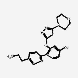 N#Cc1ccc(-c2ccc(CCN)cn2)c(Oc2nnc(N3CCOCC3)s2)c1